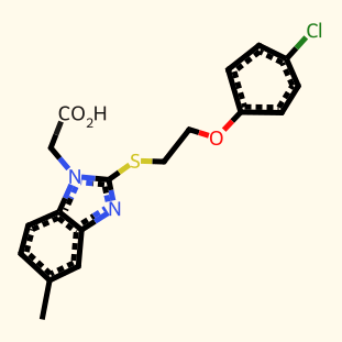 Cc1ccc2c(c1)nc(SCCOc1ccc(Cl)cc1)n2CC(=O)O